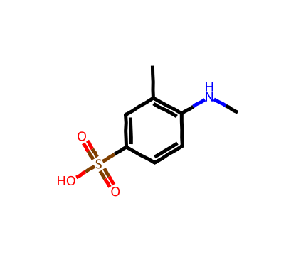 CNc1ccc(S(=O)(=O)O)cc1C